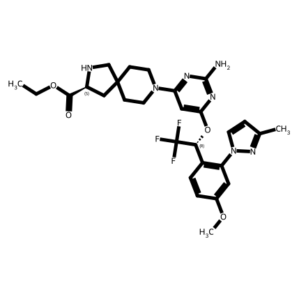 CCOC(=O)[C@@H]1CC2(CCN(c3cc(O[C@H](c4ccc(OC)cc4-n4ccc(C)n4)C(F)(F)F)nc(N)n3)CC2)CN1